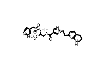 O=C(NCC(NS(=O)(=O)Cc1ccncc1)C(=O)O)c1cnn(CCc2ccc3c(n2)NCCC3)c1